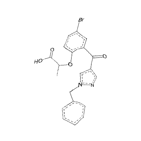 CC(Oc1ccc(Br)cc1C(=O)c1cnn(Cc2ccccc2)c1)C(=O)O